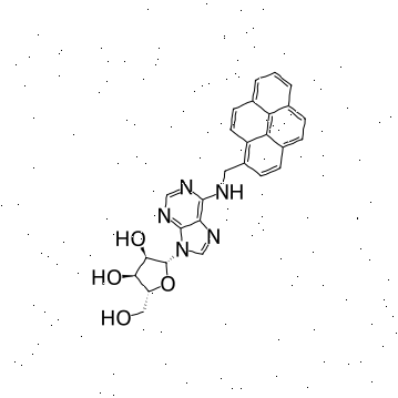 OC[C@H]1O[C@@H](n2cnc3c(NCc4ccc5ccc6cccc7ccc4c5c67)ncnc32)[C@H](O)[C@@H]1O